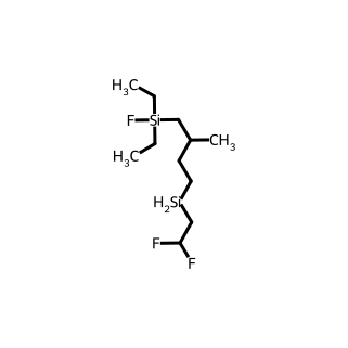 CC[Si](F)(CC)CC(C)CC[SiH2]CC(F)F